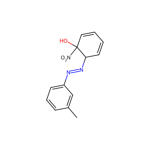 Cc1cccc(N=NC2C=CC=CC2(O)[N+](=O)[O-])c1